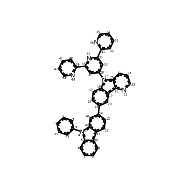 c1ccc(-n2c3ccccc3c3ccc(-c4ccc5c(c4)c4ncccc4n5-c4cc(-c5ccccn5)nc(-c5ccccn5)c4)cc32)cc1